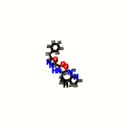 CN1C(=O)[C@@H](NC(=O)c2nnc(Cc3ccccc3)o2)C2=C[C@H]2c2cccnc21